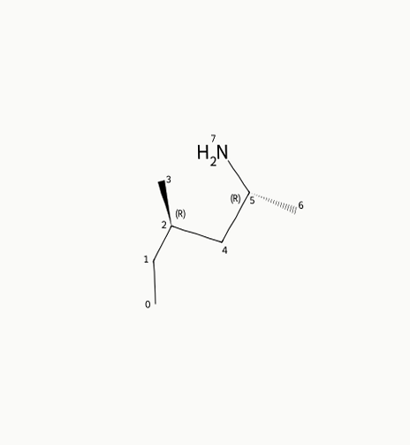 CC[C@@H](C)C[C@@H](C)N